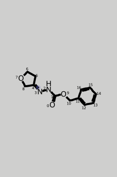 O=C(N/N=C1\CCOC1)OCc1ccccc1